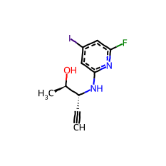 C#C[C@@H](Nc1cc(I)cc(F)n1)[C@@H](C)O